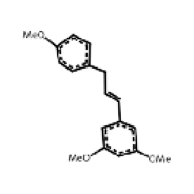 COc1ccc(C/C=C/c2cc(OC)cc(OC)c2)cc1